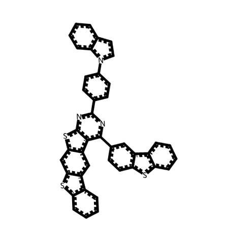 c1ccc2c(c1)ccn2-c1ccc(-c2nc(-c3ccc4sc5ccccc5c4c3)c3c(n2)sc2cc4sc5ccccc5c4cc23)cc1